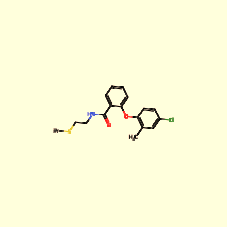 Cc1cc(Cl)ccc1Oc1ccccc1C(=O)NCCSC(C)C